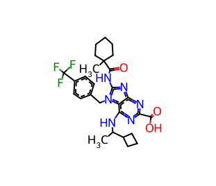 CC(Nc1nc(C(=O)O)nc2nc(NC(=O)C3(C)CCCCC3)n(Cc3ccc(C(F)(F)F)cc3)c12)C1CCC1